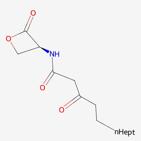 CCCCCCCCCC(=O)CC(=O)N[C@H]1COC1=O